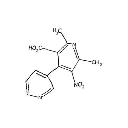 Cc1nc(C)c([N+](=O)[O-])c(-c2cccnc2)c1C(=O)O